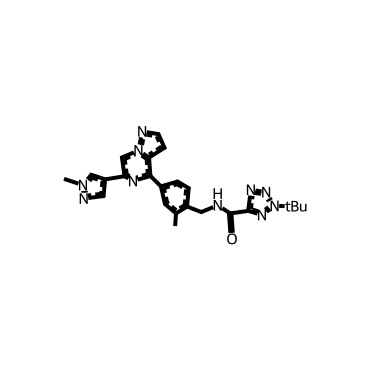 Cc1cc(-c2nc(-c3cnn(C)c3)cn3nccc23)ccc1CNC(=O)c1nnn(C(C)(C)C)n1